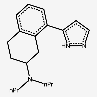 CCCN(CCC)C1CCc2cccc(-c3ccn[nH]3)c2C1